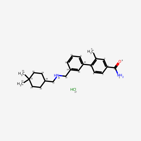 Cc1cc(C(N)=O)ccc1-c1cccc(CNCC2CCC(C)(C)CC2)c1.Cl